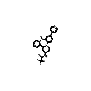 CN1c2ccccc2C2CC(NC(=O)C(F)(F)F)CCN2c2ccc(-c3ccncc3)cc21